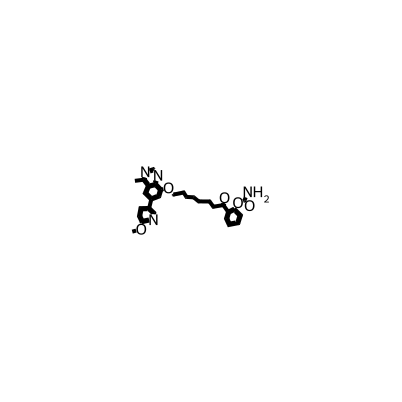 COc1ccc(-c2cc(OCCCCCCCC(=O)c3ccccc3OC(N)=O)c3ncnc(C)c3c2)cn1